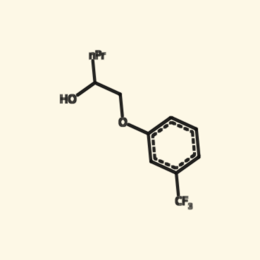 CCCC(O)COc1cccc(C(F)(F)F)c1